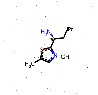 Cc1cnc([C@@H](N)CC(C)C)s1.Cl